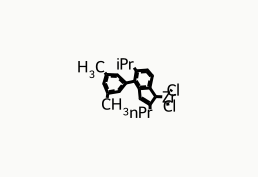 CCCC1=Cc2c(ccc(C(C)C)c2-c2cc(C)cc(C)c2)[CH]1[Zr]([Cl])[Cl]